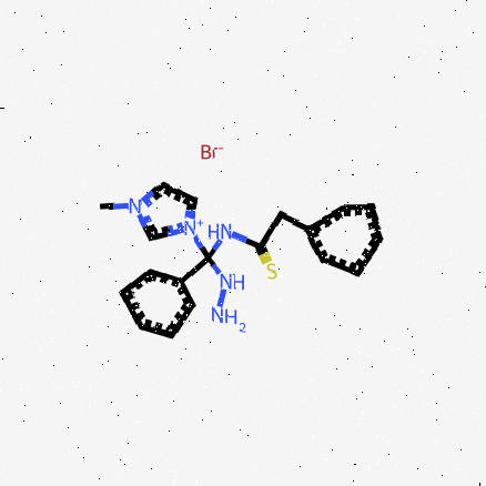 Cn1cc[n+](C(NN)(NC(=S)Cc2ccccc2)c2ccccc2)c1.[Br-]